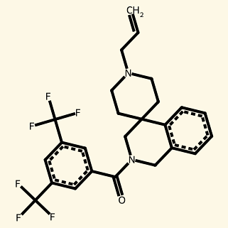 C=CCN1CCC2(CC1)CN(C(=O)c1cc(C(F)(F)F)cc(C(F)(F)F)c1)Cc1ccccc12